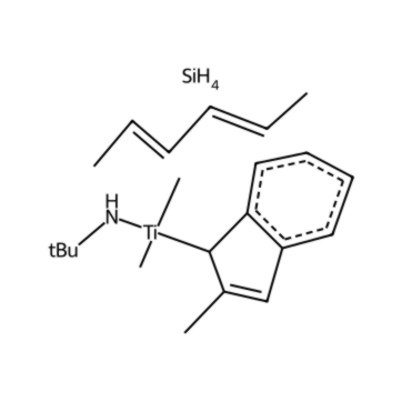 CC1=Cc2ccccc2[CH]1[Ti]([CH3])([CH3])[NH]C(C)(C)C.CC=CC=CC.[SiH4]